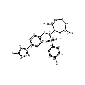 Cc1noc(-c2ccc(CN(C3CC(C(C)C)CCNC3=O)S(=O)(=O)c3ccc(Cl)cc3)cc2)n1